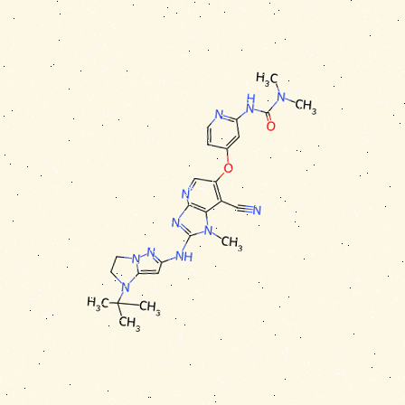 CN(C)C(=O)Nc1cc(Oc2cnc3nc(Nc4cc5n(n4)CCN5C(C)(C)C)n(C)c3c2C#N)ccn1